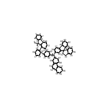 CC1(C)c2ccccc2-c2cccc(-c3ccccc3-c3ccc(N(c4ccc5c(c4)C4(CCc6ccccc64)c4ccccc4-5)c4ccc5c(ccc6ccccc65)c4)cc3)c21